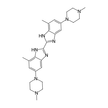 Cc1cc(N2CCN(C)CC2)cc2nc(-c3nc4cc(N5CCN(C)CC5)cc(C)c4[nH]3)[nH]c12